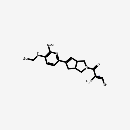 CNc1nc(C2=CC3CN(C(=O)/C(N)=C/S)CC3C2)ccc1NCC(C)(C)C